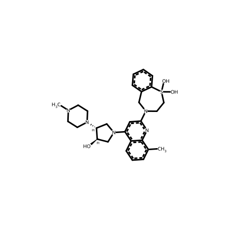 Cc1cccc2c(N3C[C@@H](O)[C@H](N4CCN(C)CC4)C3)cc(N3CCS(O)(O)c4ccccc4C3)nc12